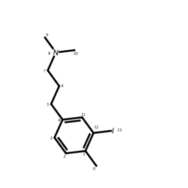 Cc1ccc(CCCN(C)C)cc1I